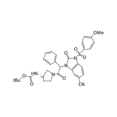 COc1ccc(S(=O)(=O)n2c(=O)n(C(C(=O)N3CC[C@H](NC(=O)OC(C)(C)C)C3)c3ccccc3)c3cc(C#N)ccc32)cc1